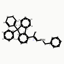 C/C(=C\NCc1ccccc1)c1cccc2c1-c1ccccc1C2(C1=CCCC=C1)c1ccccc1